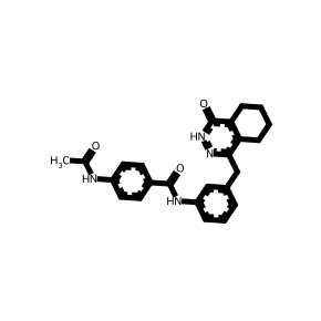 CC(=O)Nc1ccc(C(=O)Nc2cccc(Cc3n[nH]c(=O)c4c3CCCC4)c2)cc1